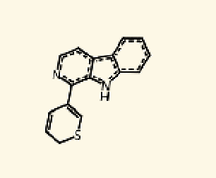 C1=CC(c2nccc3c2[nH]c2ccccc23)=CSC1